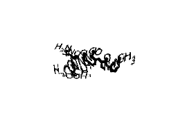 C[n+]1cccc(N2CCC(=CC3=C(C(=O)[O-])N4C(=O)[C@@H](NC(=O)C(=NOC(C)(C)C(=O)O)c5csc(N)n5)[C@H]4CC3)C2=O)c1